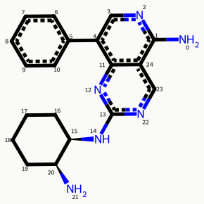 Nc1ncc(-c2ccccc2)c2nc(N[C@@H]3CCCC[C@@H]3N)ncc12